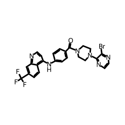 O=C(c1ccc(Nc2ccnc3cc(C(F)(F)F)ccc23)cc1)N1CCN(c2nccnc2Br)CC1